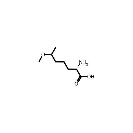 COC(C)CCC[C@H](N)C(=O)O